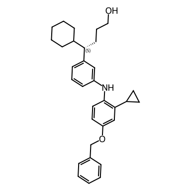 OCCC[C@H](c1cccc(Nc2ccc(OCc3ccccc3)cc2C2CC2)c1)C1CCCCC1